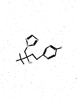 CC(C)(C)C(O)(CCc1ccc(F)cc1)Cn1cncn1